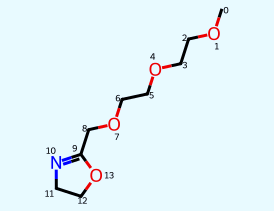 COCCOCCOCC1=NCCO1